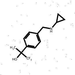 CC(O)(c1ccc(CNC2CC2)cc1)C(F)(F)F